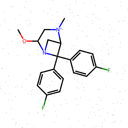 COC1C[N+](C)C2CN1C2(c1ccc(F)cc1)c1ccc(F)cc1